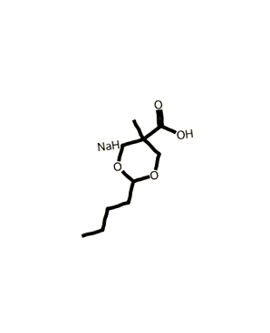 CCCCC1OCC(C)(C(=O)O)CO1.[NaH]